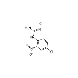 NC(=NCl)Nc1ccc(Cl)cc1[N+](=O)[O-]